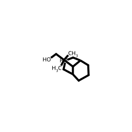 CC(C)(CO)C1C2CCCC1CNC2